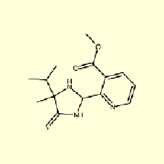 COC(=O)c1cccnc1C1NC(=S)C(C)(C(C)C)N1